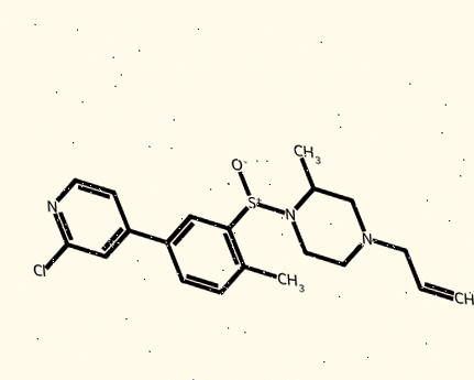 C=CCN1CCN([S+]([O-])c2cc(-c3ccnc(Cl)c3)ccc2C)C(C)C1